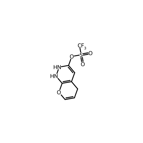 O=S(=O)(OC1=CC2=C(NN1)OC=CC2)C(F)(F)F